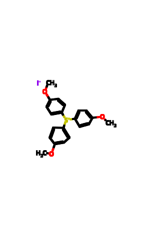 COc1ccc([S+](c2ccc(OC)cc2)c2ccc(OC)cc2)cc1.[I-]